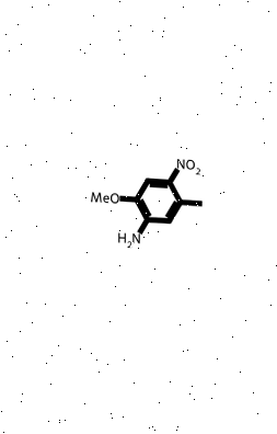 COc1cc([N+](=O)[O-])c(C)cc1N